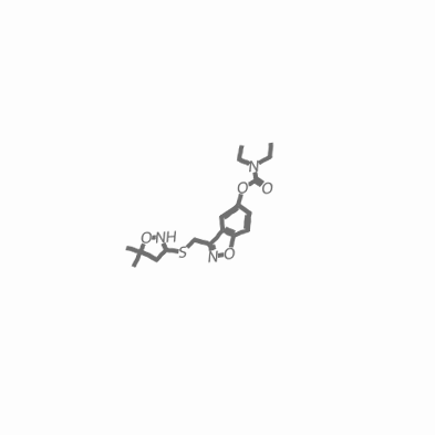 CCN(CC)C(=O)Oc1ccc2onc(CSC3CC(C)(C)ON3)c2c1